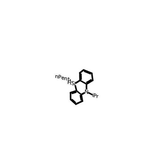 CCCCC[SiH]1c2ccccc2N(C(C)C)c2ccccc21